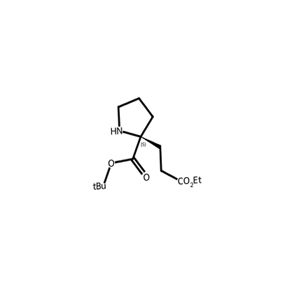 CCOC(=O)CC[C@]1(C(=O)OC(C)(C)C)CCCN1